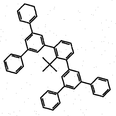 CC(C)(C)c1c(-c2cc(C3=CCCC=C3)cc(-c3ccccc3)c2)cccc1-c1cc(-c2ccccc2)cc(-c2ccccc2)c1